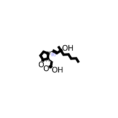 CCCCCC(C)(O)/C=C/[C@H]1CCC(=O)[C@@H]1CC(=O)O